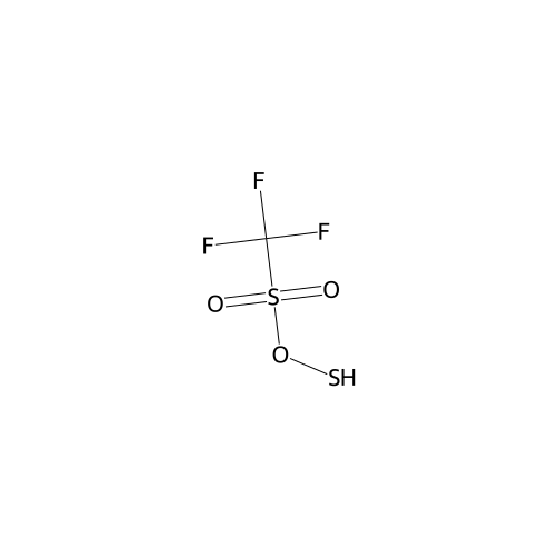 O=S(=O)(OS)C(F)(F)F